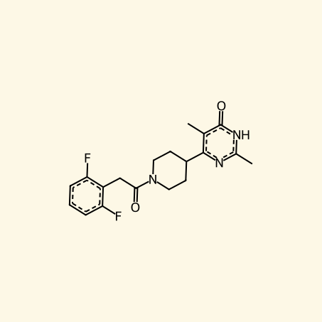 Cc1nc(C2CCN(C(=O)Cc3c(F)cccc3F)CC2)c(C)c(=O)[nH]1